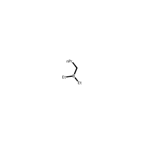 CCCCB(CC)CC